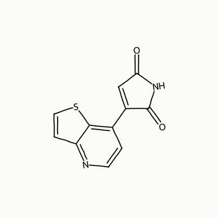 O=C1C=C(c2ccnc3ccsc23)C(=O)N1